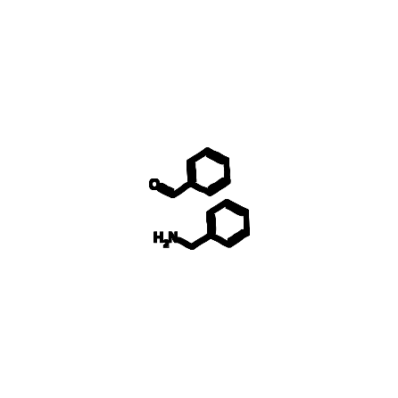 NCc1ccccc1.O=Cc1ccccc1